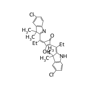 CC/C(C1=Nc2ccc(Cl)cc2C1(C)C)=C1/C(=O)C(C(/CC)=C2/Nc3ccc(Cl)cc3C2(C)C)=C1O